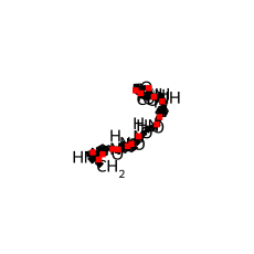 C=CCC1CNCCN1c1ccc(CCNC(=O)c2cnc3c(ccn3CC(=O)NCCOCCNC(=O)C#Cc3ccc(Cc4nc(C(=O)N[C@H]5COc6ccccc6N(C)C5=O)n[nH]4)cc3)c2)cc1